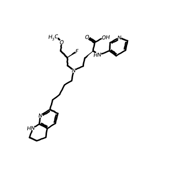 COC[C@@H](F)CN(CCCCc1ccc2c(n1)NCCC2)CC[C@H](Nc1cccnc1)C(=O)O